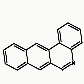 [c]1nc2ccccc2c2cc3ccccc3cc12